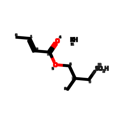 CC=CC(=O)OCC(C)CS(=O)(=O)O.[KH]